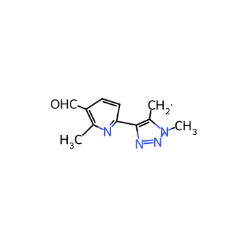 [CH2]c1c(-c2ccc(C=O)c(C)n2)nnn1C